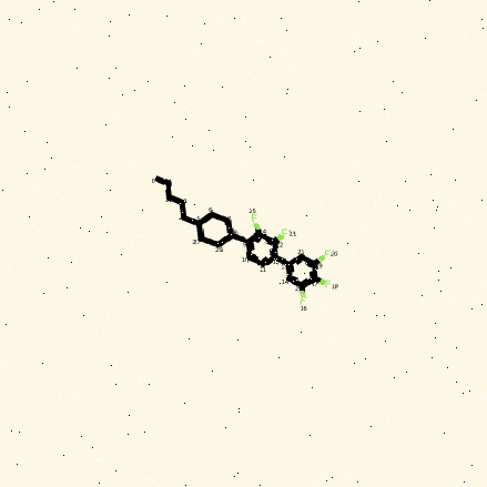 CCCCCC1CCC(c2ccc(-c3cc(F)c(F)c(F)c3)c(F)c2F)CC1